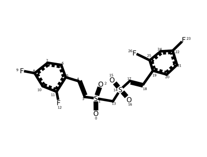 O=S(=O)(/C=C/c1ccc(F)cc1F)CS(=O)(=O)/C=C/c1ccc(F)cc1F